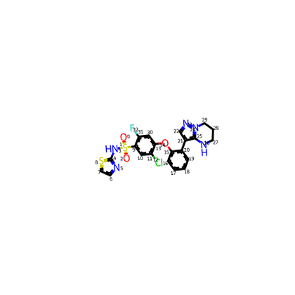 O=S(=O)(Nc1nccs1)c1cc(Cl)c(Oc2ccccc2-c2cnn3c2NCCC3)cc1F